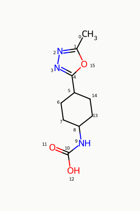 Cc1nnc(C2CCC(NC(=O)O)CC2)o1